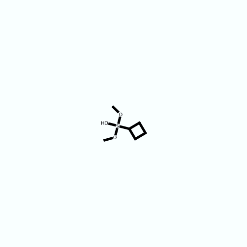 CO[Si](O)(OC)C1CCC1